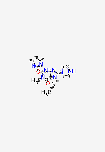 CC#CCn1c(N2CCNCC2)nc2nc(Oc3ncccn3)n(C)c(=O)c21